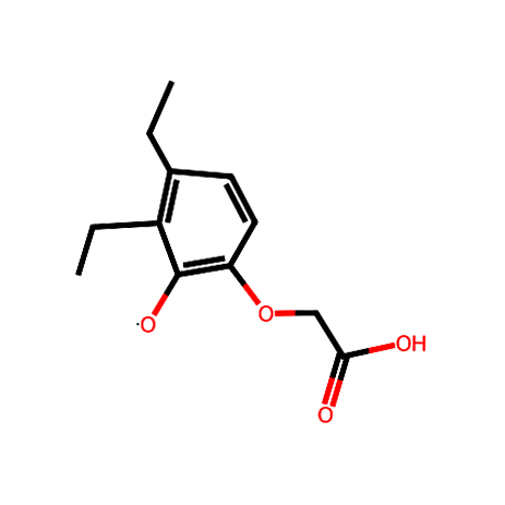 CCc1ccc(OCC(=O)O)c([O])c1CC